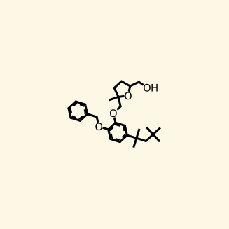 CC(C)(C)CC(C)(C)c1ccc(OCc2ccccc2)c(OCC2(C)CCC(CO)O2)c1